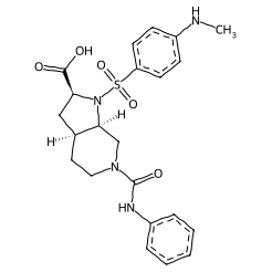 CNc1ccc(S(=O)(=O)N2[C@H](C(=O)O)C[C@@H]3CCN(C(=O)Nc4ccccc4)C[C@@H]32)cc1